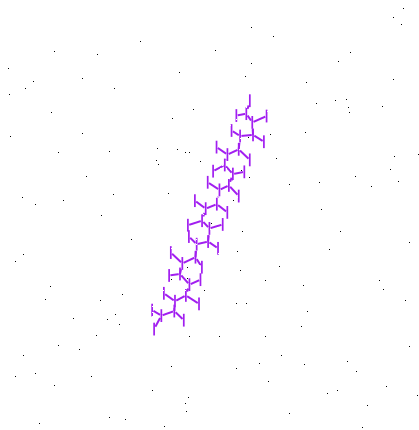 II(I)I(I)I(I)I(I)I(I)I(I)I(I)I(I)I(I)I(I)I(I)I(I)I(I)I(I)I(I)I(I)I(I)I(I)I(I)I(I)I(I)I(I)I(I)I(I)I